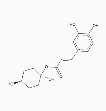 O=C(/C=C/c1ccc(O)c(O)c1)O[C@]1(O)CC[C@H](O)CC1